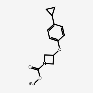 CC(C)(C)OC(=O)N1CC(Oc2ccc(C3CC3)cc2)C1